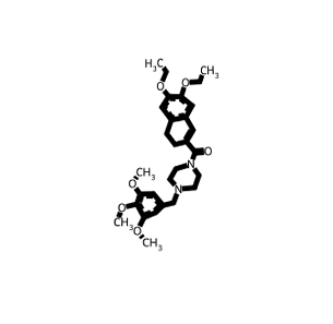 CCOc1cc2c(cc1OCC)CCC(C(=O)N1CCN(Cc3cc(OC)c(OC)c(OC)c3)CC1)=C2